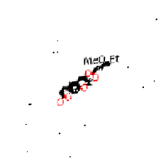 CC/C=C(/C=C/C(=O)O[C@H]1Cc2cc3ccc(=O)oc3cc2OC1(C)C)OC